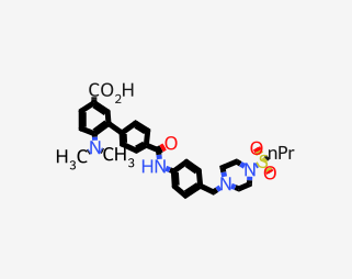 CCCS(=O)(=O)N1CCN(Cc2ccc(NC(=O)c3ccc(-c4cc(C(=O)O)ccc4N(C)C)cc3)cc2)CC1